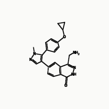 Cn1ncc(-c2ccc3c(=O)[nH]nc(CN)c3c2)c1-c1ccc(OC2CC2)cc1